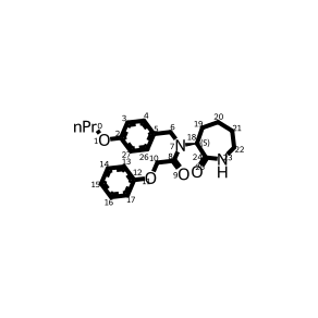 CCCOc1ccc(CN(C(=O)COc2ccccc2)[C@H]2CCCCNC2=O)cc1